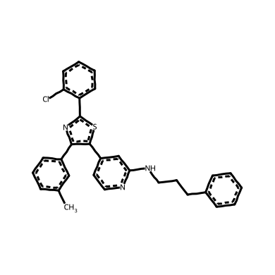 Cc1cccc(-c2nc(-c3ccccc3Cl)sc2-c2ccnc(NCCCc3ccccc3)c2)c1